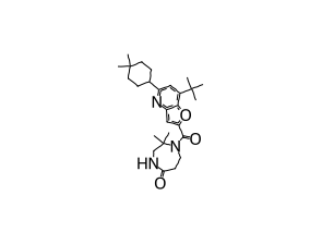 CC1(C)CCC(c2cc(C(C)(C)C)c3oc(C(=O)N4CCC(=O)NCC4(C)C)cc3n2)CC1